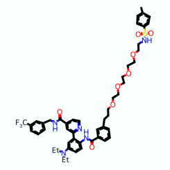 CCN(CC)c1ccc(NC(=O)c2cccc(CCCOCCOCCOCCOCCNS(=O)(=O)c3ccc(C)cc3)c2)c(-c2cc(C(=O)NCc3cccc(C(F)(F)F)c3)ccn2)c1